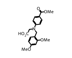 COC(=O)c1ccc(N(CC(=O)O)Cc2ccc(OC)cc2OC)cc1